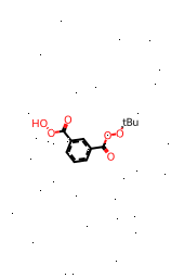 CC(C)(C)OOC(=O)c1cccc(C(=O)OO)c1